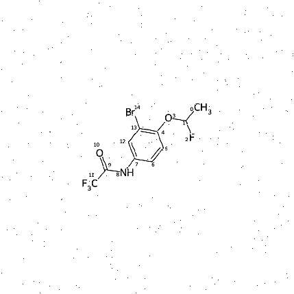 CC(F)Oc1ccc(NC(=O)C(F)(F)F)cc1Br